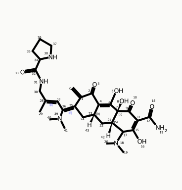 C=C1C(=O)C2=C(O)[C@]3(O)C(=O)C(C(N)=O)=C(O)C(N(C)C)[C@@H]3C[C@@H]2C/C1=C(/C=C(\C)CNC(=O)C1CCCN1)N(C)C